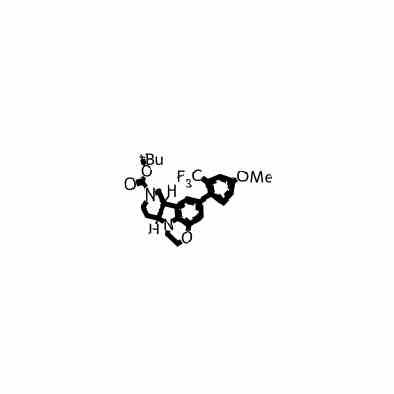 COc1ccc(-c2cc3c4c(c2)[C@@H]2CN(C(=O)OC(C)(C)C)CC[C@@H]2N4CCO3)c(C(F)(F)F)c1